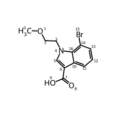 COCCn1cc(C(=O)O)c2cccc(Br)c21